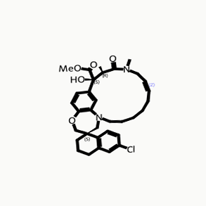 COC(=O)[C@@]1(O)c2ccc3c(c2)N(CCCCC/C=C\CN(C)C(=O)[C@@H]1C)C[C@@]1(CCCc2cc(Cl)ccc21)CO3